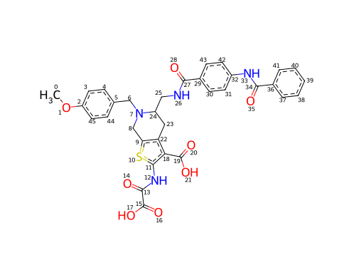 COc1ccc(CN2Cc3sc(NC(=O)C(=O)O)c(C(=O)O)c3CC2CNC(=O)c2ccc(NC(=O)c3ccccc3)cc2)cc1